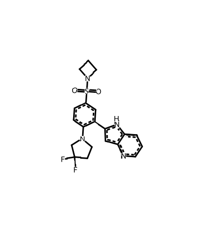 O=S(=O)(c1ccc(N2CCC(F)(F)C2)c(-c2cc3ncccc3[nH]2)c1)N1CCC1